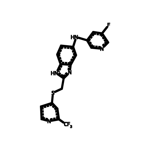 Fc1cncc(Nc2ccc3[nH]c(CSc4ccnc(C(F)(F)F)c4)nc3c2)c1